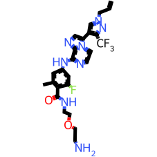 C=CCn1cc(-c2cnc3c(Nc4cc(C)c(C(=O)NCCOCCN)c(F)c4)nccn23)c(C(F)(F)F)n1